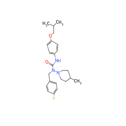 CC(C)COc1ccc(NC(=O)N(Cc2ccc(F)cc2)N2CCC(C)CC2)cc1